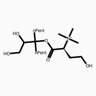 CCCCCC(CCCCC)(OC(=O)[C@H](CCO)[N+](C)(C)C)C(O)CO